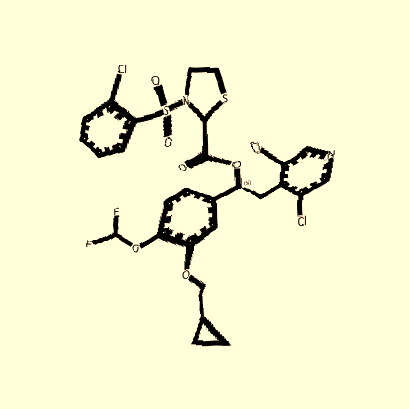 O=C(O[C@@H](Cc1c(Cl)cncc1Cl)c1ccc(OC(F)F)c(OCC2CC2)c1)C1SCCN1S(=O)(=O)c1ccccc1Cl